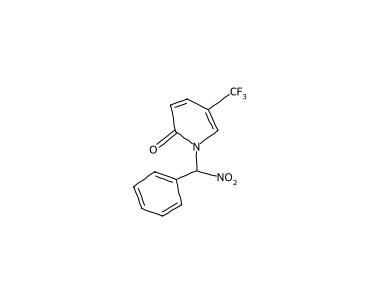 O=c1ccc(C(F)(F)F)cn1C(c1ccccc1)[N+](=O)[O-]